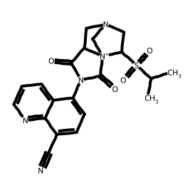 CC(C)S(=O)(=O)C1CN2CC3C(=O)N(c4ccc(C#N)c5ncccc45)C(=O)[N+]31C2